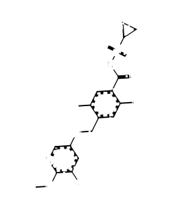 COc1ncc(OCc2cc(F)c(C(=O)NS(=O)(=O)C3CC3)cc2F)cc1Cl